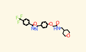 O=C(COc1ccc(-c2nnc(-c3ccc(C(F)(F)F)cc3)o2)cc1)NCC1CCOCC1